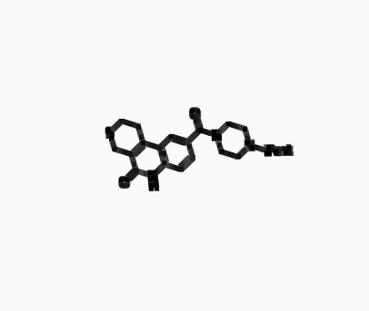 CCCC(C)N1CCN(C(=O)c2ccc3[nH]c(=O)c4c(c3c2)CCSC4)CC1